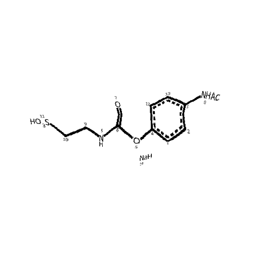 CC(=O)Nc1ccc(OC(=O)NCCS(=O)(=O)O)cc1.[NaH]